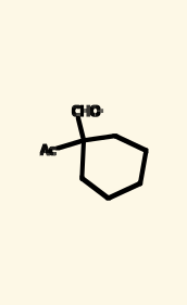 CC(=O)C1([C]=O)CCCCC1